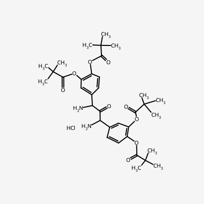 CC(C)(C)C(=O)Oc1ccc(C(N)C(=O)C(N)c2ccc(OC(=O)C(C)(C)C)c(OC(=O)C(C)(C)C)c2)cc1OC(=O)C(C)(C)C.Cl